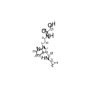 CC(NC1CC1)c1cn(CCCNC(=O)CO)c2ncccc12